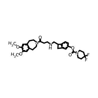 COc1cc2c(cc1OC)CCN(C(=O)CCNCC1Cc3cc(OC(=O)N4CCC(F)(F)CC4)ccc31)CC2